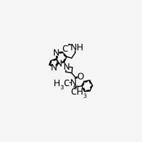 C[C@H](c1ccccc1)N(C)C(=O)C1CN(c2c3c(nc4ccnn24)CCNCC3)C1